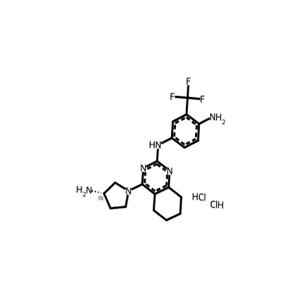 Cl.Cl.Nc1ccc(Nc2nc3c(c(N4CC[C@H](N)C4)n2)CCCC3)cc1C(F)(F)F